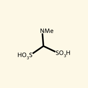 CNC(S(=O)(=O)O)S(=O)(=O)O